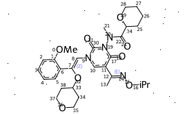 COc1ccccc1/C(=C/n1cc(/C(C)=N/OC(C)C)c(=O)n(N(C)C(=O)C2CCCCO2)c1=O)OC1CCOCC1